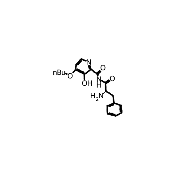 CCCCOc1ccnc(C(=O)NC(=O)[C@@H](N)Cc2ccccc2)c1O